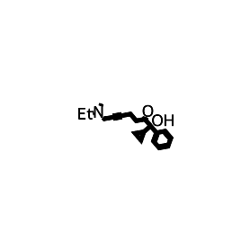 CCN(C)CC#CCCC(=O)C(O)(c1ccccc1)C1CC1